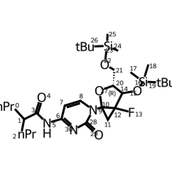 CCCC(CCC)C(=O)Nc1ccn(C23CC2(F)C(O[Si](C)(C)C(C)(C)C)[C@@H](CO[Si](C)(C)C(C)(C)C)O3)c(=O)n1